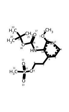 COc1nccc(CCOS(C)(=O)=O)c1NC(=O)OC(C)(C)C